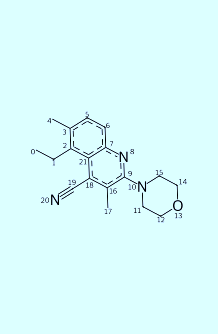 CCc1c(C)ccc2nc(N3CCOCC3)c(C)c(C#N)c12